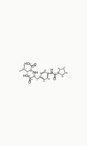 CC(C)CC(NC(Cc1ccc(NC(=O)C2CCCC2)cc1)C(=O)O)C(=O)O